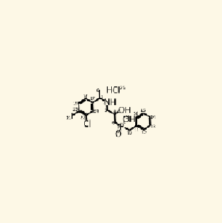 CC(NCC(O)CP(=O)(O)Cc1ccccc1)c1ccc(I)c(Cl)c1.Cl